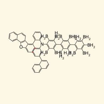 Bc1c(B)c(B)c(-c2c(B)c(B)c(-c3c(B)c(B)c(N(c4cccc(-c5cccc6ccccc56)c4)c4ccccc4-c4cccc5oc6c7ccccc7ccc6c45)c(B)c3B)c(B)c2B)c(B)c1B